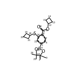 CC1(C)OB(c2ccc(C(=O)OC3CCC3)c(SC3CCC3)c2)OC1(C)C